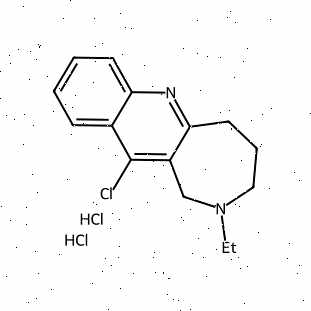 CCN1CCCc2nc3ccccc3c(Cl)c2C1.Cl.Cl